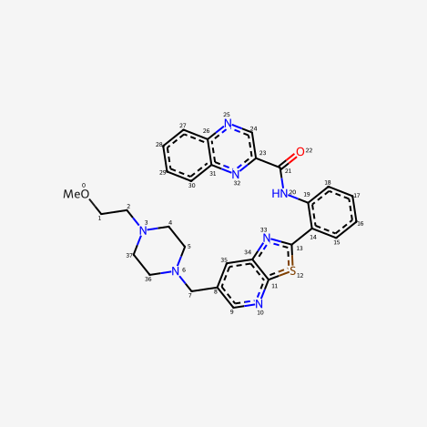 COCCN1CCN(Cc2cnc3sc(-c4ccccc4NC(=O)c4cnc5ccccc5n4)nc3c2)CC1